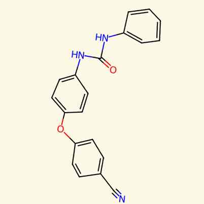 N#Cc1ccc(Oc2ccc(NC(=O)Nc3ccccc3)cc2)cc1